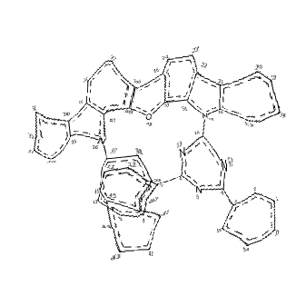 c1ccc(-c2nc(-c3ccccc3)nc(-n3c4ccccc4c4ccc5c6ccc7c8ccccc8n(-c8ccc9ccccc9c8)c7c6oc5c43)n2)cc1